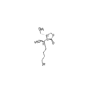 CC(C)CCCC[C@@H](O)[C@@H]1C(=O)OC[C@H]1CO